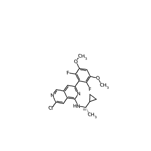 COc1cc(OC)c(F)c(-c2cc3cnc(Cl)cc3c(N[C@@H](C)C3CC3)n2)c1F